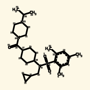 Cc1cc(C)c(S(=O)(=O)N(CC2CC2)C2CCC(C(=O)N3CCN(C(C)C)CC3)CC2)c(C)c1